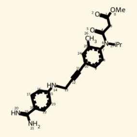 COC(=O)CC(=O)N(c1ccc(C#CCNc2ccc(C(=N)N)cc2)cc1C)C(C)C